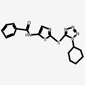 O=C(Nc1cnc(Sc2nnnn2C2CCCCC2)s1)c1ccccc1